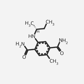 CC[C@@H](C)Nc1cc(C(N)=O)c(C)cc1C(N)=O